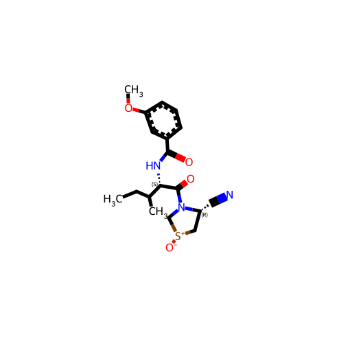 CCC(C)[C@H](NC(=O)c1cccc(OC)c1)C(=O)N1C[S+]([O-])C[C@H]1C#N